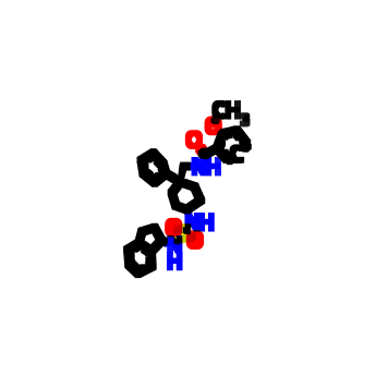 COc1ccccc1C(=O)NC[C@]1(c2ccccc2)CC[C@H](NS(=O)(=O)NC2CCc3ccccc32)CC1